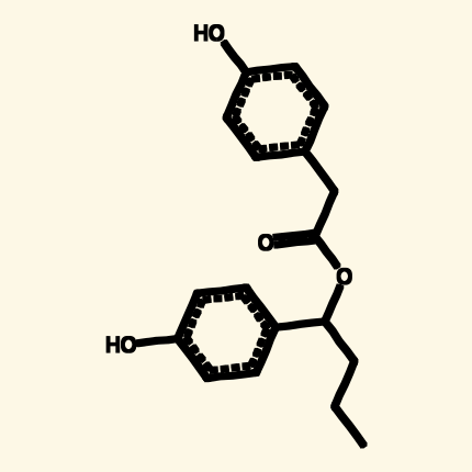 CCCC(OC(=O)Cc1ccc(O)cc1)c1ccc(O)cc1